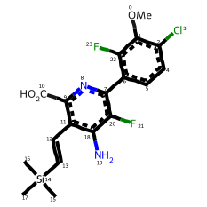 COc1c(Cl)ccc(-c2nc(C(=O)O)c(C=C[Si](C)(C)C)c(N)c2F)c1F